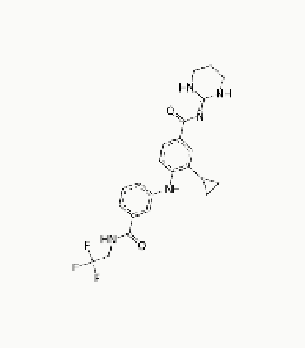 O=C(N=C1NCCCN1)c1ccc(Nc2cccc(C(=O)NCC(F)(F)F)c2)c(C2CC2)c1